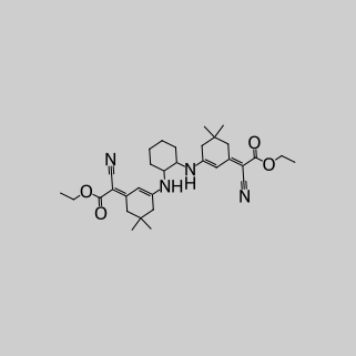 CCOC(=O)/C(C#N)=C1/C=C(NC2CCCCC2NC2=C/C(=C(\C#N)C(=O)OCC)CC(C)(C)C2)CC(C)(C)C1